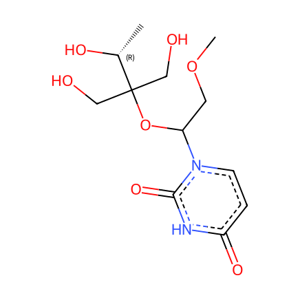 COCC(OC(CO)(CO)[C@@H](C)O)n1ccc(=O)[nH]c1=O